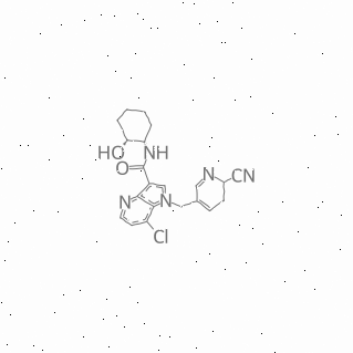 N#CC1CC=C(Cn2cc(C(=O)N[C@H]3CCCC[C@@H]3O)c3nccc(Cl)c32)C=N1